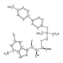 CO[C@H](COC(Cc1ccc(-c2ccc(C(=O)O)cc2)cc1)(C(=O)O)C(=O)O)[C@@H](O)[C@H](F)n1cnc2c(N)nc(Cl)nc21